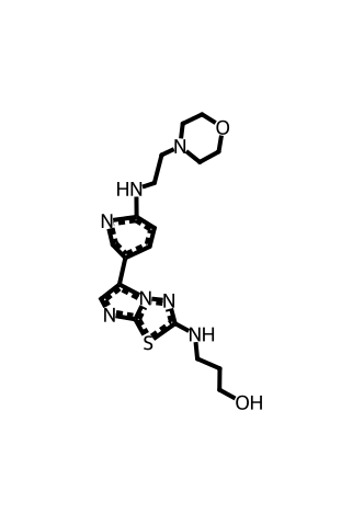 OCCCNc1nn2c(-c3ccc(NCCN4CCOCC4)nc3)cnc2s1